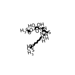 CC(=O)OC[C@H]1O[C@@H](n2cnc3c(=S)[nH]c(NCCCCCCNC(C)=S)nc32)C(O)C1O